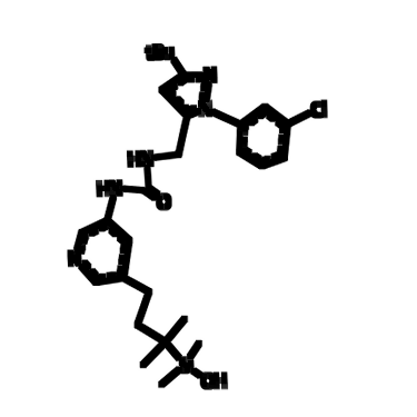 CC(C)(C)c1cc(CNC(=O)Nc2cncc(CCC(C)(C)[Si](C)(C)O)c2)n(-c2cccc(Cl)c2)n1